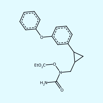 CCOC(=O)ON(CC1CC1c1cccc(Oc2ccccc2)c1)C(N)=O